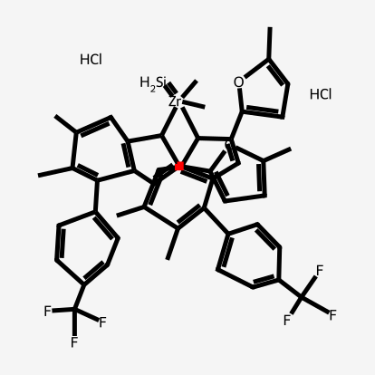 Cc1ccc(C2=Cc3c(cc(C)c(C)c3-c3ccc(C(F)(F)F)cc3)[CH]2[Zr]([CH3])([CH3])(=[SiH2])[CH]2C(c3ccc(C)o3)=Cc3c2cc(C)c(C)c3-c2ccc(C(F)(F)F)cc2)o1.Cl.Cl